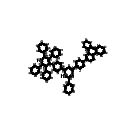 C1=C(c2ccc(-c3ccc4c5ccccc5c5ccccc5c4c3)cc2)N=C(c2ccccc2)NC1c1ccc(C2=C(c3ccccc3)C(c3ccccc3)NC(c3ccccc3)=C2c2ccccc2)cc1